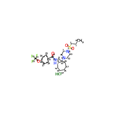 CCCS(=O)(=O)N1CCN(C2(CNC(=O)c3ccc(OC(F)(F)F)cc3)CCCCCC2)CC1.Cl